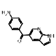 Nc1ccc(C(=O)c2cnc3[nH]ccc3c2)cc1